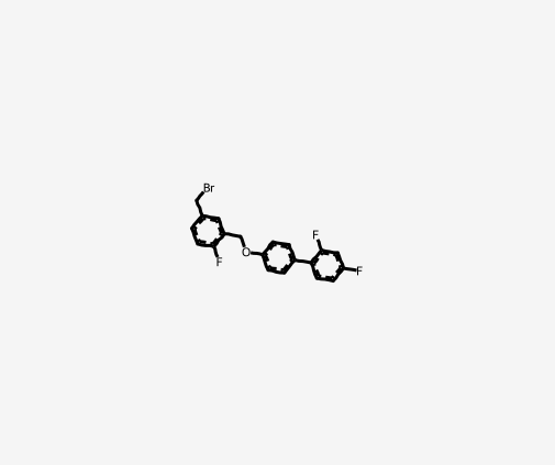 Fc1ccc(-c2ccc(OCc3cc(CBr)ccc3F)cc2)c(F)c1